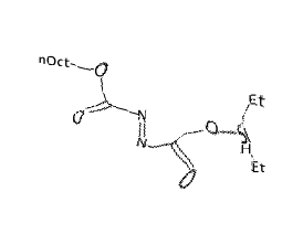 CCCCCCCCOC(=O)N=NC(=O)O[SiH](CC)CC